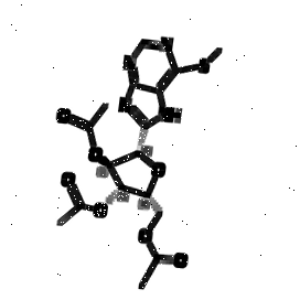 CSc1ncnc2nc([C@@H]3O[C@H](COC(C)=O)[C@H](OC(C)=O)[C@H]3OC(C)=O)[nH]c12